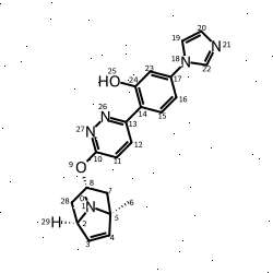 CN1[C@H]2C=C[C@]1(C)C[C@@H](Oc1ccc(-c3ccc(-n4ccnc4)cc3O)nn1)C2